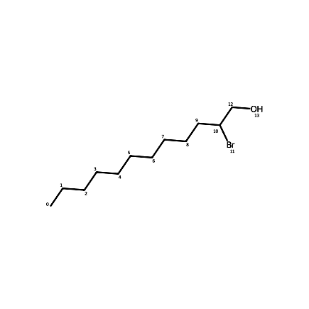 CCCCCCCCCCC(Br)CO